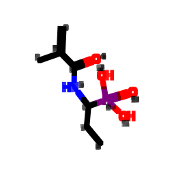 C=C(C)C(=O)NC(CC)P(=O)(O)O